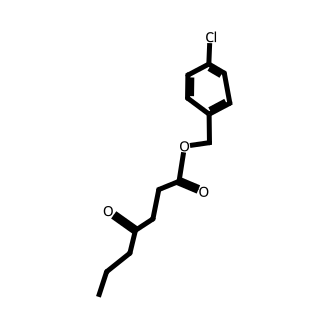 CCCC(=O)CCC(=O)OCc1ccc(Cl)cc1